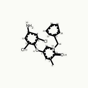 Cc1cc(Oc2c(Cl)cc(N)cc2Cl)cn(Cc2ccccc2)c1=O